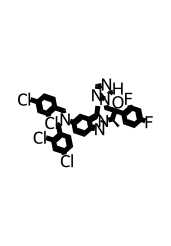 Cc1c2cc(N(Cc3ccc(Cl)cc3Cl)Cc3ccc(Cl)cc3Cl)ccc2nn1[C@H](C)[C@](O)(Cn1cncn1)c1ccc(F)cc1F